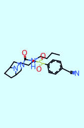 CCCCNC(=O)N1CC2CCC(C1)N2CCCS(=O)(=O)c1ccc(C#N)cc1